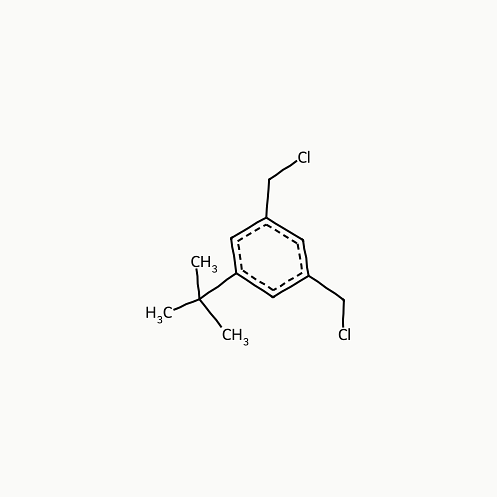 CC(C)(C)c1cc(CCl)cc(CCl)c1